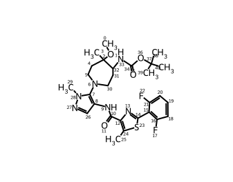 COC1(C)CCN(c2c(NC(=O)c3nc(-c4c(F)cccc4F)sc3C)cnn2C)CCC1NC(=O)OC(C)(C)C